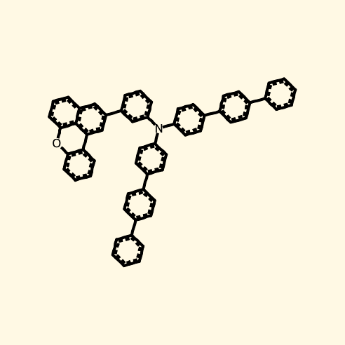 c1ccc(-c2ccc(-c3ccc(N(c4ccc(-c5ccc(-c6ccccc6)cc5)cc4)c4cccc(-c5cc6c7c(cccc7c5)Oc5ccccc5-6)c4)cc3)cc2)cc1